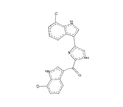 O=C(c1nc(-c2c[nH]c3c(Cl)cccc23)c[nH]1)c1c[nH]c2c(Cl)cccc12